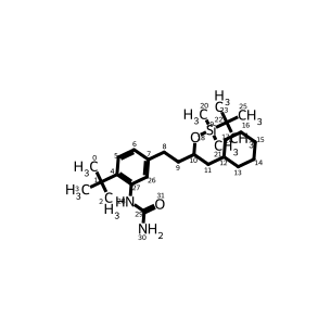 CC(C)(C)c1ccc(CCC(CC2CCCCC2)O[Si](C)(C)C(C)(C)C)cc1NC(N)=O